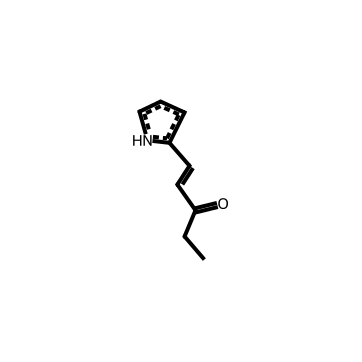 CCC(=O)C=Cc1ccc[nH]1